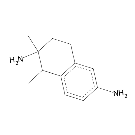 CC1c2ccc(N)cc2CCC1(C)N